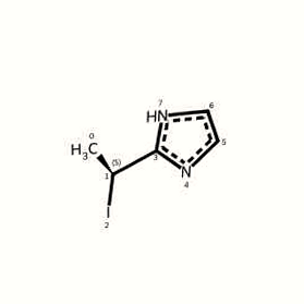 C[C@H](I)c1ncc[nH]1